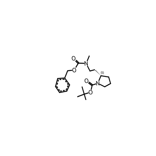 CN(CC[C@@H]1CCCN1C(=O)OC(C)(C)C)C(=O)OCc1ccccc1